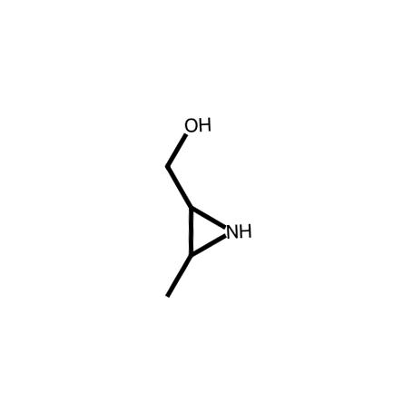 CC1NC1CO